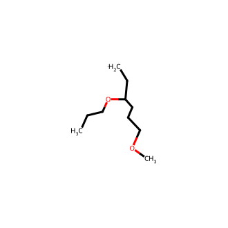 [CH2]CC(CCCOC)OCCC